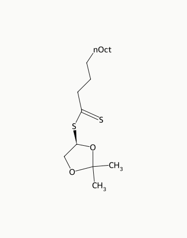 CCCCCCCCCCCC(=S)S[C@@H]1COC(C)(C)O1